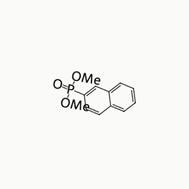 COP(=O)(OC)c1ccc2ccccc2c1